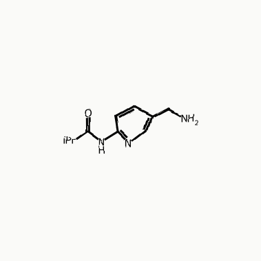 CC(C)C(=O)Nc1ccc(CN)cn1